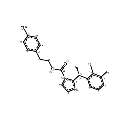 Cc1cccc([C@H](C)c2nccn2C(=O)OCCc2ccc(Cl)cc2)c1C